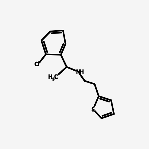 CC(NCCc1cccs1)c1ccccc1Cl